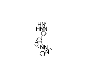 CCNc1nc2ccc(-c3ccc4c(c3)CN(c3nc(CC)nc5ccccc35)CCO4)cc2[nH]1